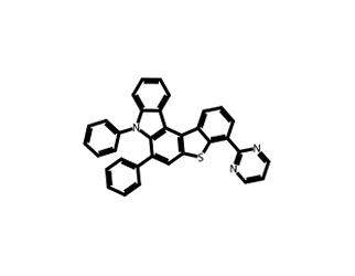 c1ccc(-c2cc3sc4c(-c5ncccn5)cccc4c3c3c4ccccc4n(-c4ccccc4)c23)cc1